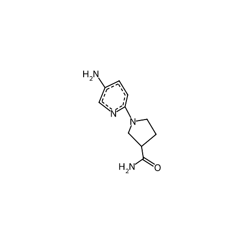 NC(=O)C1CCN(c2ccc(N)cn2)C1